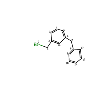 BrCc1cccc(Cc2ccccc2)c1